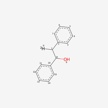 [2H]C(c1ccccc1)C(O)c1ccccc1